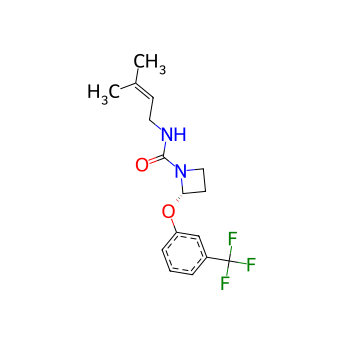 CC(C)=CCNC(=O)N1CC[C@@H]1Oc1cccc(C(F)(F)F)c1